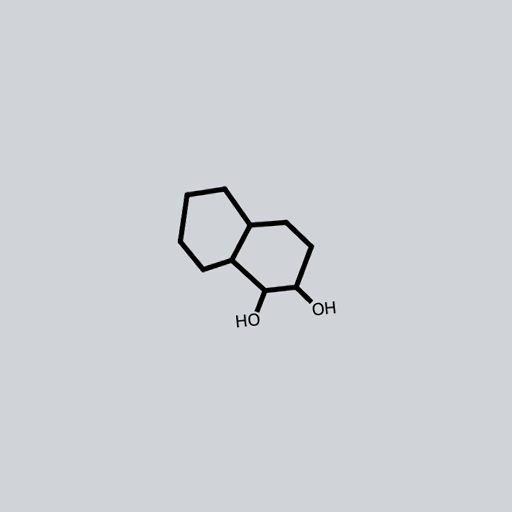 OC1CCC2CCCCC2C1O